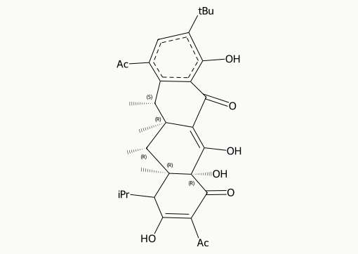 CC(=O)C1=C(O)C(C(C)C)[C@@]2(C)[C@H](C)[C@]3(C)C(=C(O)[C@@]2(O)C1=O)C(=O)c1c(O)c(C(C)(C)C)cc(C(C)=O)c1[C@H]3C